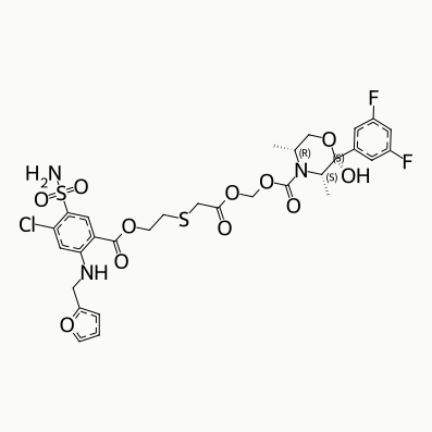 C[C@@H]1CO[C@@](O)(c2cc(F)cc(F)c2)[C@H](C)N1C(=O)OCOC(=O)CSCCOC(=O)c1cc(S(N)(=O)=O)c(Cl)cc1NCc1ccco1